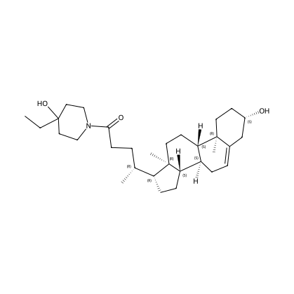 CCC1(O)CCN(C(=O)CC[C@@H](C)[C@H]2CC[C@H]3[C@@H]4CC=C5C[C@@H](O)CC[C@]5(C)[C@H]4CC[C@]23C)CC1